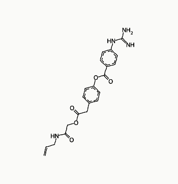 C=CCNC(=O)COC(=O)Cc1ccc(OC(=O)c2ccc(NC(=N)N)cc2)cc1